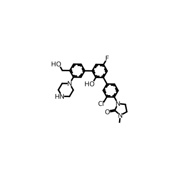 CN1CCN(c2ccc(-c3cc(F)cc(-c4ccc(CO)c(N5CCNCC5)c4)c3O)cc2Cl)C1=O